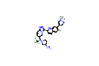 Cn1cc(-c2cc3nc(-c4nnc5ccc([C@@H](N6CCC(N)C6)C(F)(F)F)cn45)ccc3cc2F)cn1